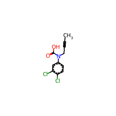 CC#CCN(C(=O)O)c1ccc(Cl)c(Cl)c1